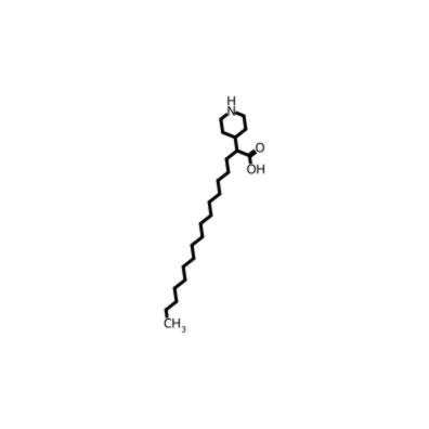 CCCCCCCCCCCCCCCCC(C(=O)O)C1CCNCC1